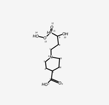 O=C(O)C1CCN(CCC(O)[PH](=O)OO)CC1